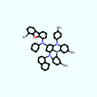 CC(C)c1cccc2c1oc1c(N(c3ccccc3)c3cc4c5c(c3)N(c3cccc6ccccc36)c3ccc(C(C)(C)C)cc3B5c3cc(C(C)(C)C)ccc3N4c3ccc(C(C)(C)C)cc3)cccc12